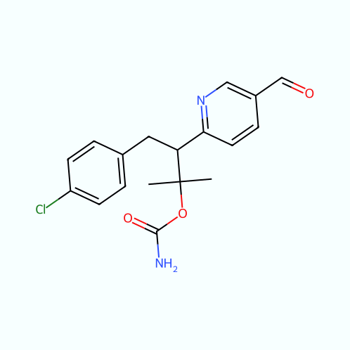 CC(C)(OC(N)=O)C(Cc1ccc(Cl)cc1)c1ccc(C=O)cn1